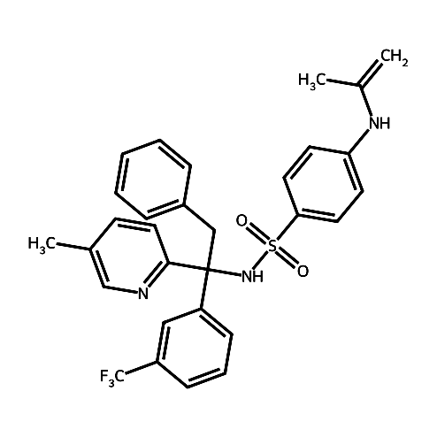 C=C(C)Nc1ccc(S(=O)(=O)NC(Cc2ccccc2)(c2cccc(C(F)(F)F)c2)c2ccc(C)cn2)cc1